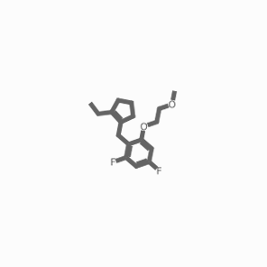 CCC1=C(Cc2c(F)cc(F)cc2OCCOC)CCC1